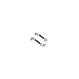 CC(=O)[O-].C[CH](C)[Ca+]